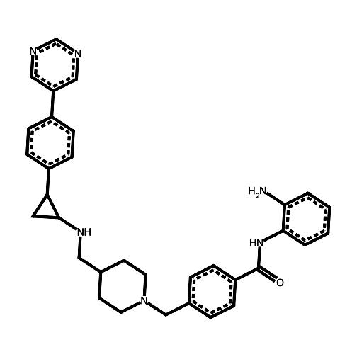 Nc1ccccc1NC(=O)c1ccc(CN2CCC(CNC3CC3c3ccc(-c4cncnc4)cc3)CC2)cc1